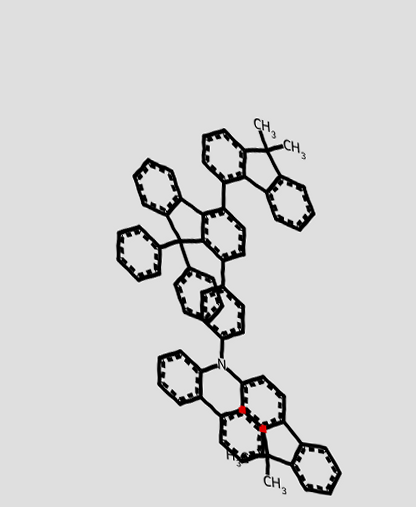 CC1(C)c2ccccc2-c2ccc(N(c3ccc(-c4ccc(-c5cccc6c5-c5ccccc5C6(C)C)c5c4C(c4ccccc4)(c4ccccc4)c4ccccc4-5)cc3)c3ccccc3-c3ccccc3)cc21